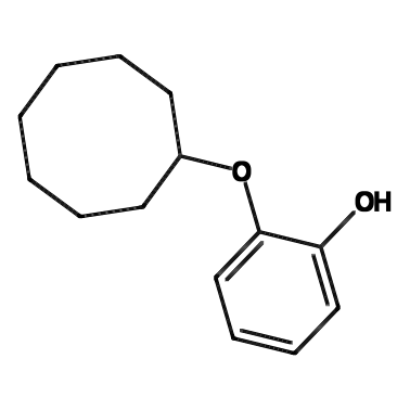 Oc1ccccc1OC1CCCCCCC1